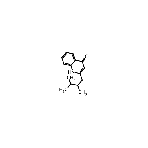 CC(C)C(C)Cc1cc(=O)c2ccccc2[nH]1